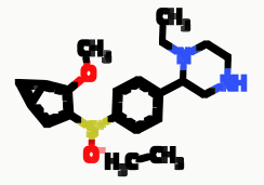 CC.CCN1CCNCC1c1ccc([S+]([O-])c2cc3cc-3c2OC)cc1